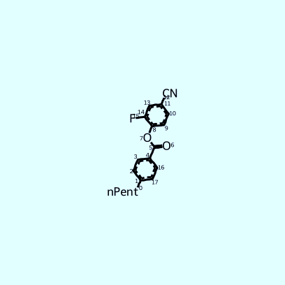 CCCCCc1ccc(C(=O)Oc2ccc(C#N)cc2F)cc1